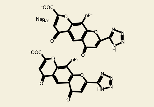 CCCc1c2oc(C(=O)[O-])cc(=O)c2cc2c(=O)cc(-c3nnn[nH]3)oc12.CCCc1c2oc(C(=O)[O-])cc(=O)c2cc2c(=O)cc(-c3nnn[nH]3)oc12.[Na+].[Na+]